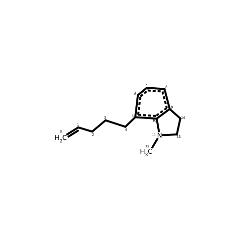 C=CCCCc1cccc2c1N(C)CC2